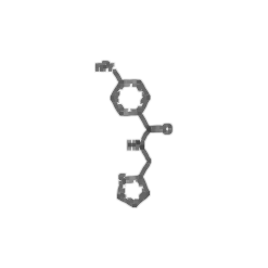 CCCc1ccc(C(=O)NCc2cccs2)cc1